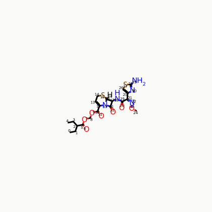 CCC(CC)C(=O)OCOC(=O)C1=CCS[C@@H]2C(NC(=O)/C(=N\OC)c3csc(N)n3)C(=O)N12